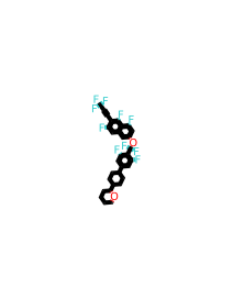 Fc1cc2cc(OC(F)(F)c3c(F)cc(C4CCC(C5CCCCO5)CC4)cc3F)cc(F)c2c(F)c1C#CC(F)(F)F